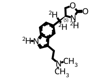 [2H]N1C(=O)OC[C@@H]1C([2H])([2H])c1ccc2c(c1)c(CCN(C)C)cn2[2H]